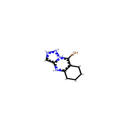 Sc1c2c(nc3cnnn13)CCCC2